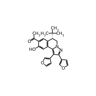 CC(=O)c1cc2c(cc1O)-c1c(-c3ccoc3)c(-c3ccoc3)nn1C[C@H]2C(C)(C)C